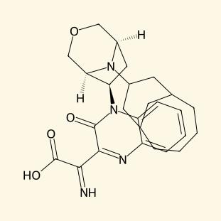 N=C(C(=O)O)c1nc2ccccc2n([C@@H]2C[C@@H]3COC[C@H]2N3C2CC3CCCCC(C3)C2)c1=O